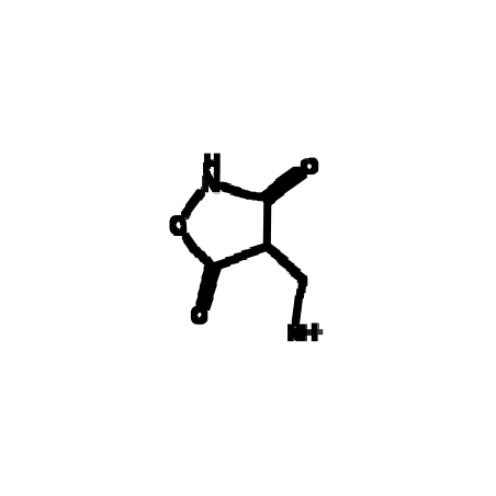 [NH]CC1C(=O)NOC1=O